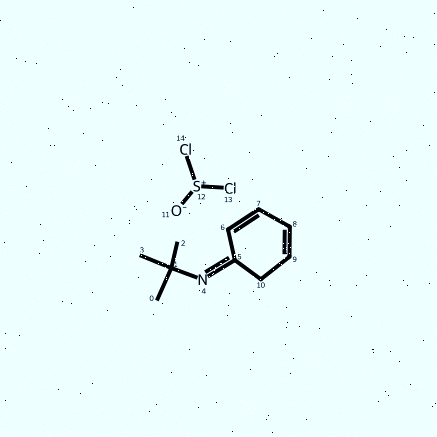 CC(C)(C)N=C1C=CC=CC1.[O-][S+](Cl)Cl